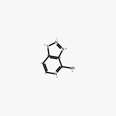 CC(C)c1nccc2snnc12